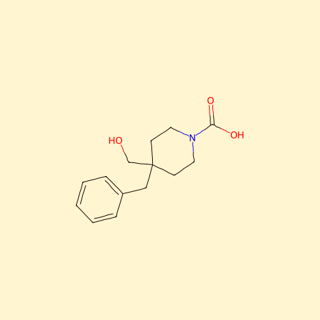 O=C(O)N1CCC(CO)(Cc2ccccc2)CC1